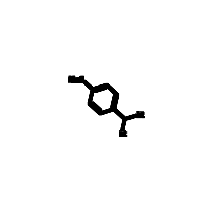 CCC(CC)c1ccc(SC)cc1